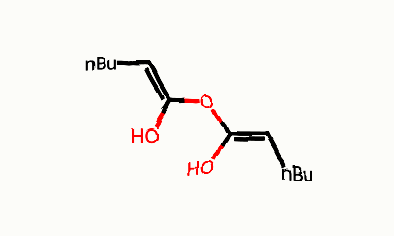 CCCC/C=C(\O)O/C(O)=C/CCCC